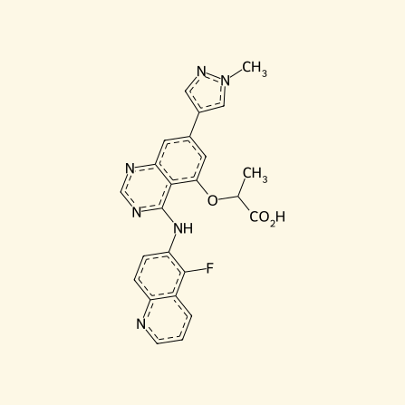 CC(Oc1cc(-c2cnn(C)c2)cc2ncnc(Nc3ccc4ncccc4c3F)c12)C(=O)O